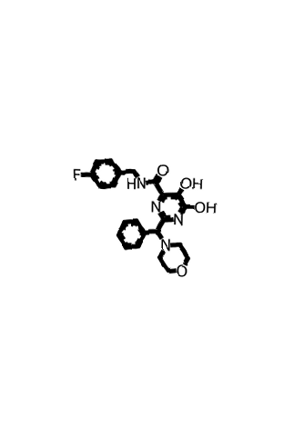 O=C(NCc1ccc(F)cc1)c1nc(C(c2ccccc2)N2CCOCC2)nc(O)c1O